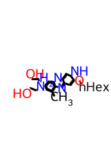 CCCCCCOC1=CC(=Nc2ccc(N(CCO)CCO)cc2C)C(N)=CC1=N